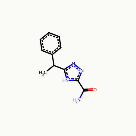 CC(c1ccccc1)c1nnc(C(N)=O)[nH]1